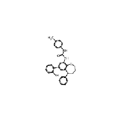 Cc1ccc(NC(=O)Nc2cc(-c3ccccc3S)cc3c2OCCCC3c2ccccc2)cc1